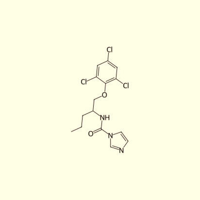 CCCC(COc1c(Cl)cc(Cl)cc1Cl)NC(=O)n1ccnc1